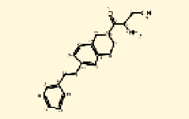 N[C@H](CO)C(=O)N1CCc2cc(CCc3ccccc3)ccc2C1